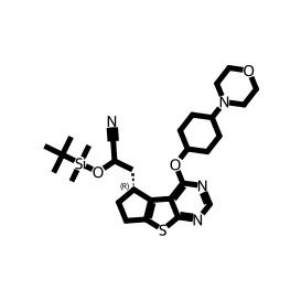 CC(C)(C)[Si](C)(C)OC(C#N)C[C@H]1CCc2sc3ncnc(OC4CCC(N5CCOCC5)CC4)c3c21